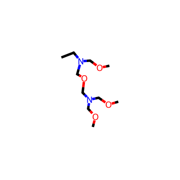 CCN(COC)COCN(COC)COC